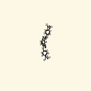 CN(C)c1ccc(C=Nn2cc[n+](N=Cc3ccc(N(C)C)cc3)c2)cc1